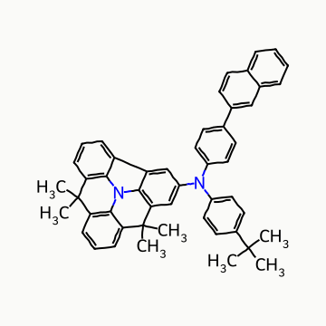 CC(C)(C)c1ccc(N(c2ccc(-c3ccc4ccccc4c3)cc2)c2cc3c4c(c2)c2cccc5c2n4-c2c(cccc2C3(C)C)C5(C)C)cc1